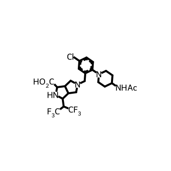 CC(=O)NC1CCN(c2ccc(Cl)cc2CN2CC3C(C(=O)O)NC(C(C(F)(F)F)C(F)(F)F)C3C2)CC1